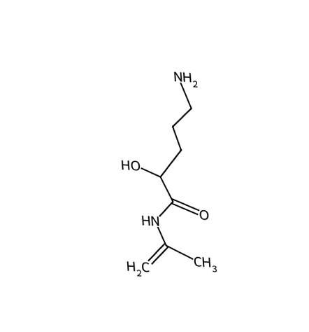 C=C(C)NC(=O)C(O)CCCN